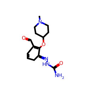 CN1CCC(OC2=C(C=O)C=CCC2=NNC(N)=O)CC1